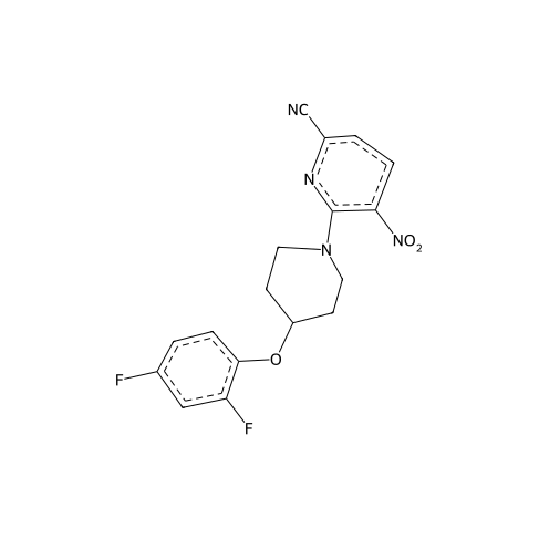 N#Cc1ccc([N+](=O)[O-])c(N2CCC(Oc3ccc(F)cc3F)CC2)n1